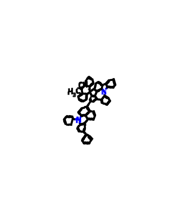 CC1(C)c2ccccc2C2(c3ccccc31)c1cc(-c3ccc(N(c4ccc(-c5ccccc5)cc4-c4ccccc4)C4C=CC=CC4)cc3)cc3c1-c1c2ccc2c4ccccc4n(c12)-c1ccccc1-3